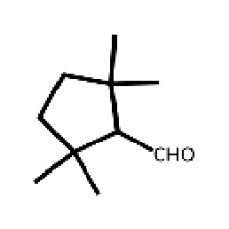 CC1(C)CCC(C)(C)C1C=O